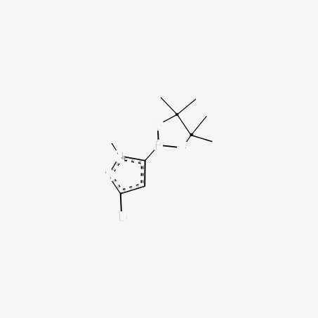 CCc1cc(B2OC(C)(C)C(C)(C)O2)n(C)n1